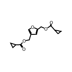 O=C(OCc1coc(COC(=O)C2CC2)c1)C1CC1